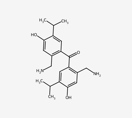 CC(C)c1cc(C(=O)c2cc(C(C)C)c(O)cc2CN)c(CN)cc1O